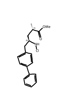 COC(=O)[C@@H](C)C[C@H](Cc1ccc(-c2ccccc2)cc1)NCl